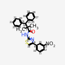 CC(C)(C(=O)Nc1nc(-c2cccc([N+](=O)[O-])c2)cs1)C(c1ccccc1)c1ccccc1